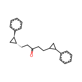 O=C(CCC1CC1c1ccccc1)CC[C@@H]1C[C@H]1c1ccccc1